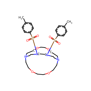 Cc1ccc(S(=O)(=O)N2CCN3CCOCCOCCN(CCOCCOCC3)CCN(S(=O)(=O)c3ccc(C)cc3)CC2)cc1